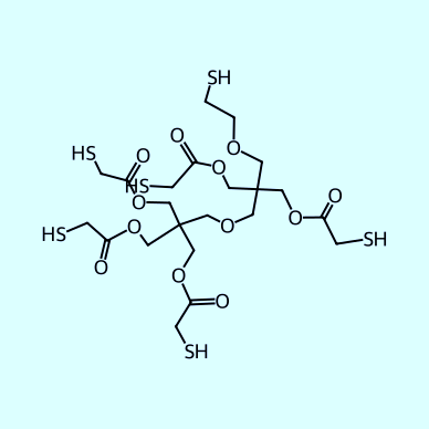 O=C(CS)OCC(COCCS)(COCC(COC(=O)CS)(COC(=O)CS)COC(=O)CS)COC(=O)CS